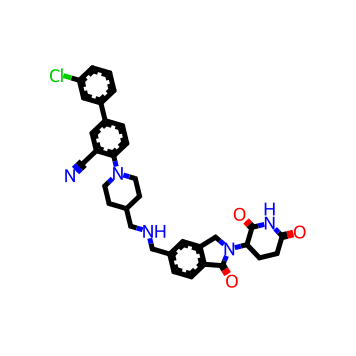 N#Cc1cc(-c2cccc(Cl)c2)ccc1N1CCC(CNCc2ccc3c(c2)CN(C2CCC(=O)NC2=O)C3=O)CC1